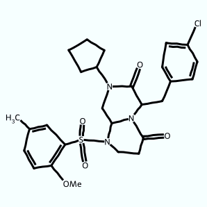 COc1ccc(C)cc1S(=O)(=O)N1CCC(=O)N2C(Cc3ccc(Cl)cc3)C(=O)N(C3CCCC3)CC21